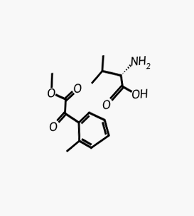 CC(C)[C@H](N)C(=O)O.COC(=O)C(=O)c1ccccc1C